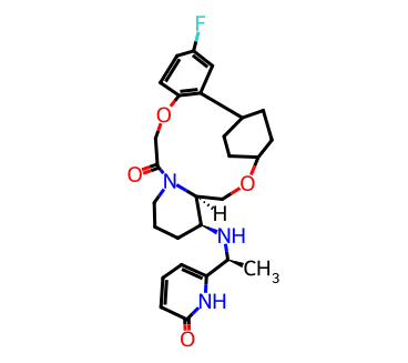 C[C@H](N[C@H]1CCCN2C(=O)COc3ccc(F)cc3C3CCC(CC3)OC[C@@H]12)c1cccc(=O)[nH]1